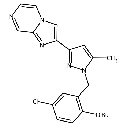 Cc1cc(-c2cn3ccncc3n2)nn1Cc1cc(Cl)ccc1OCC(C)C